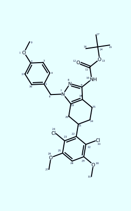 COc1ccc(Cn2nc(NC(=O)OC(C)(C)C)c3c2CC(c2c(Cl)c(OC)cc(OC)c2Cl)CC3)cc1